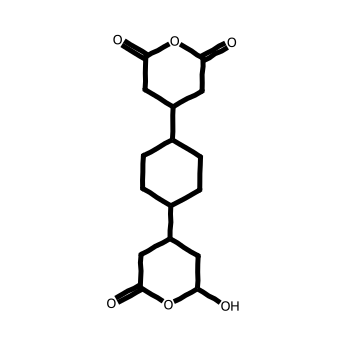 O=C1CC(C2CCC(C3CC(=O)OC(O)C3)CC2)CC(=O)O1